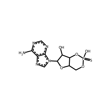 Nc1ncnc2c1ncn2C1OC2COP(O)(=S)OC2C1O